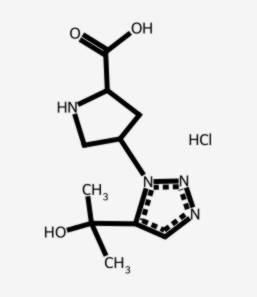 CC(C)(O)c1cnnn1C1CNC(C(=O)O)C1.Cl